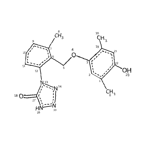 Cc1cc(OCc2c(C)cccc2-n2nn[nH]c2=O)c(C)cc1O